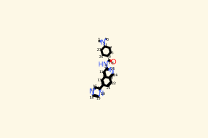 CN(C)[C@H]1CC[C@H](C(=O)Nc2cc3cc(-c4cnccn4)ccc3cn2)CC1